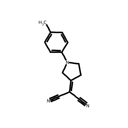 Cc1ccc(N2CCC(=C(C#N)C#N)C2)cc1